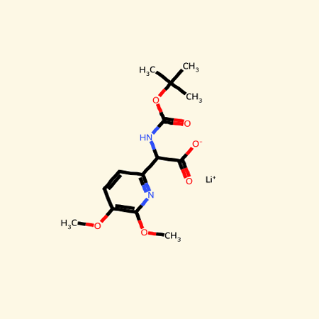 COc1ccc(C(NC(=O)OC(C)(C)C)C(=O)[O-])nc1OC.[Li+]